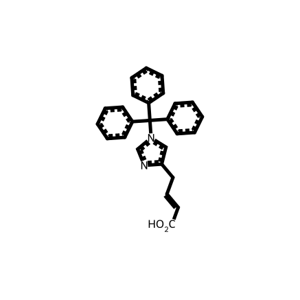 O=C(O)/C=C/Cc1cn(C(c2ccccc2)(c2ccccc2)c2ccccc2)cn1